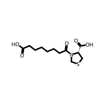 O=C(O)CCCCCCC(=O)N1CSC[C@H]1C(=O)O